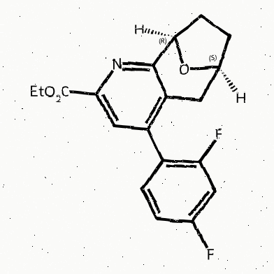 CCOC(=O)c1cc(-c2ccc(F)cc2F)c2c(n1)[C@H]1CC[C@@H](C2)O1